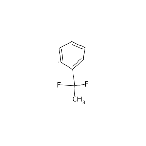 CC(F)(F)c1[c]cccc1